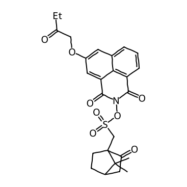 CCC(=O)COc1cc2c3c(cccc3c1)C(=O)N(OS(=O)(=O)CC13CCC(CC1=O)C3(C)C)C2=O